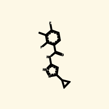 Cc1c(F)ccc(C(=O)Nc2cc(C3CC3)n[nH]2)c1F